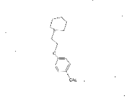 CC(=O)Oc1ccc(OCCN2CCCCC2)cc1